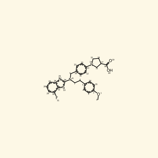 COc1ccc(CCN(Cc2ccc(N3CCC(C(=O)O)C3)cc2)c2nc3cccc(F)c3s2)cc1